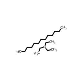 CCCCCCCCCCCCO.CCN(CC)CC